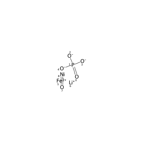 O=P([O-])([O-])[O-].[Fe+2].[Li+].[O]=[Ni]